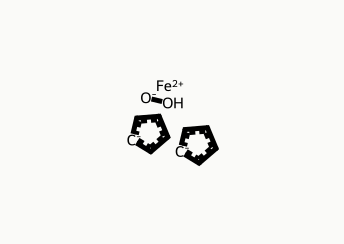 [Fe+2].[O-]O.c1cc[cH-]c1.c1cc[cH-]c1